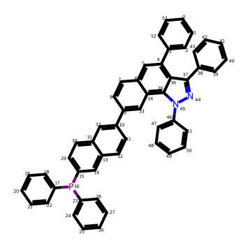 c1ccc(-c2cc3ccc(-c4ccc5cc(P(c6ccccc6)c6ccccc6)ccc5c4)cc3c3c2c(-c2ccccc2)nn3-c2ccccc2)cc1